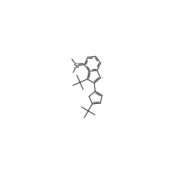 C[Si](C)=c1cccc2c1=C(C(C)(C)C)C(C1=CC=C(C(C)(C)C)C1)=[C]2